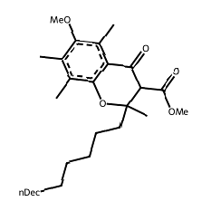 CCCCCCCCCCCCCCCC1(C)Oc2c(C)c(C)c(OC)c(C)c2C(=O)C1C(=O)OC